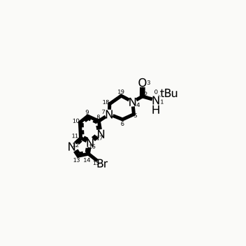 CC(C)(C)NC(=O)N1CCN(c2ccc3ncc(Br)n3n2)CC1